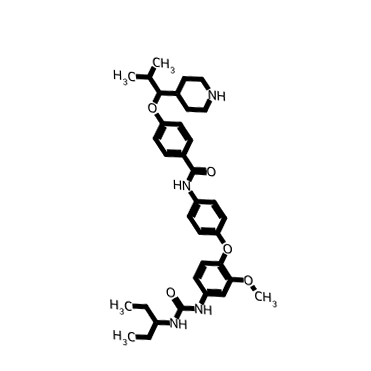 CCC(CC)NC(=O)Nc1ccc(Oc2ccc(NC(=O)c3ccc(OC(C(C)C)C4CCNCC4)cc3)cc2)c(OC)c1